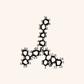 c1cc(-c2cccc3oc4c5ccccc5ccc4c23)cc(N(c2ccc(-c3ccc(-c4ccc5ccccc5c4)cc3)cc2)c2ccc(-c3cc4ccccc4c4ccccc34)cc2)c1